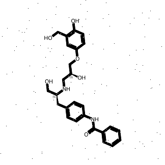 O=C(Nc1ccc(C[C@@H](CO)NC[C@H](O)COc2ccc(O)c(CO)c2)cc1)c1ccccc1